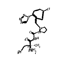 CC(C)C[C@](C)(N)C(=O)NC(=O)[C@@H]1CCCN1Cc1cc(Cl)ccc1-n1cnnn1